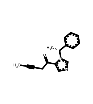 CC#CCC(=O)c1cncn1[C@H](C)c1ccccc1